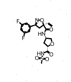 C=C[C@]1(C(=O)N[C@@H]2CO[C@H](C(=O)NS(C)(=O)=O)C2)CC(c2cc(F)cc(F)c2)=NO1